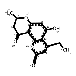 CCc1cc(=O)oc2c3c(cc(O)c12)OC(C)CC3=O